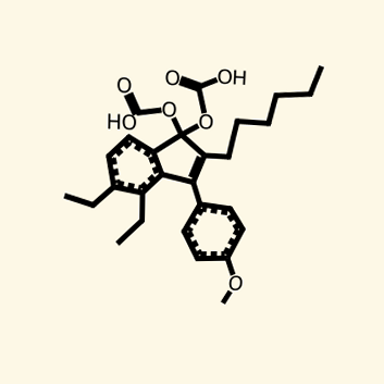 CCCCCCC1=C(c2ccc(OC)cc2)c2c(ccc(CC)c2CC)C1(OC(=O)O)OC(=O)O